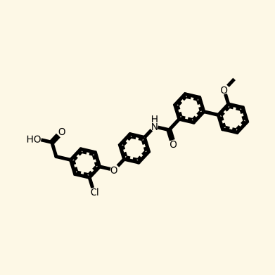 COc1ccccc1-c1cccc(C(=O)Nc2ccc(Oc3ccc(CC(=O)O)cc3Cl)cc2)c1